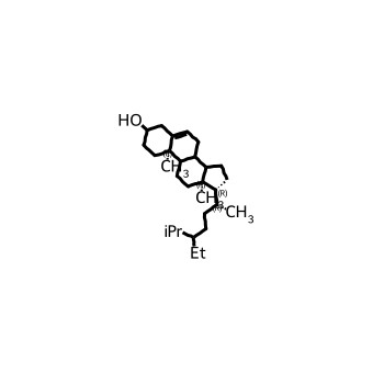 CCC(CC[C@@H](C)[C@H]1CCC2C3CC=C4CC(O)CC[C@]4(C)C3CC[C@@]21C)C(C)C